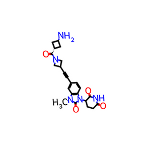 Cn1c(=O)n(C2CCC(=O)NC2=O)c2ccc(C#CC3CN(C(=O)[C@H]4C[C@H](N)C4)C3)cc21